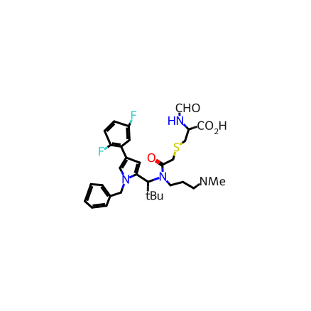 CNCCCN(C(=O)CSCC(NC=O)C(=O)O)C(c1cc(-c2cc(F)ccc2F)cn1Cc1ccccc1)C(C)(C)C